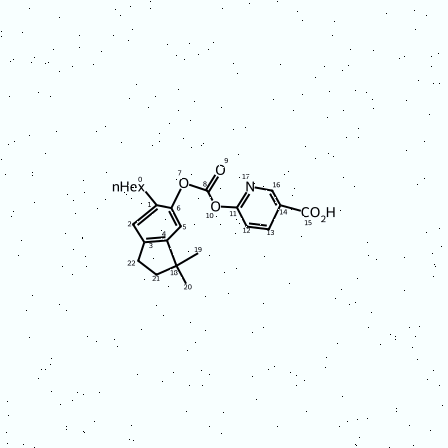 CCCCCCc1cc2c(cc1OC(=O)Oc1ccc(C(=O)O)cn1)C(C)(C)CC2